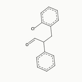 O=CC(Cc1ccccc1Cl)c1ccccc1